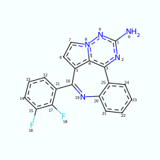 Nc1nc2c3c(ccn3n1)C(c1cccc(F)c1F)=Nc1ccccc1-2